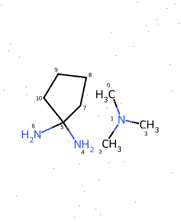 CN(C)C.NC1(N)CCCC1